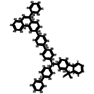 CC1(C)c2ccccc2-c2ccc(N(c3ccc(-c4ccccc4)cc3)c3ccc(-c4ccc(-c5ccc6c(-c7ccccc7)cc7ccccc7c6c5)cc4)cc3)cc21